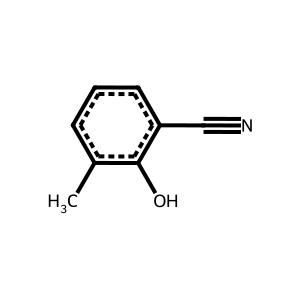 Cc1cccc(C#N)c1O